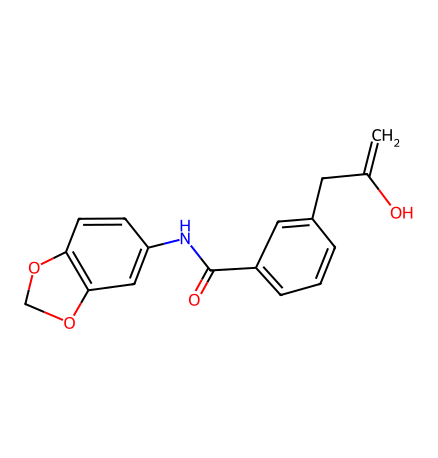 C=C(O)Cc1cccc(C(=O)Nc2ccc3c(c2)OCO3)c1